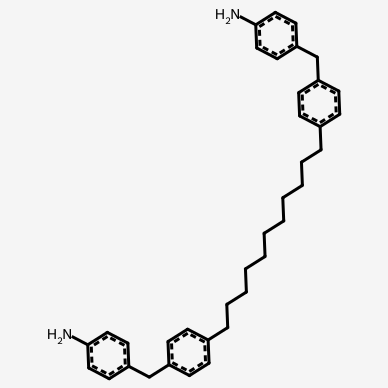 Nc1ccc(Cc2ccc(CCCCCCCCCCCc3ccc(Cc4ccc(N)cc4)cc3)cc2)cc1